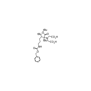 CC(C)(C)OC(=O)C(C(CCCNC(=O)OCc1ccccc1)C(C)(C)C)(N(CC(=O)O)CC(=O)O)C(C)(C)C